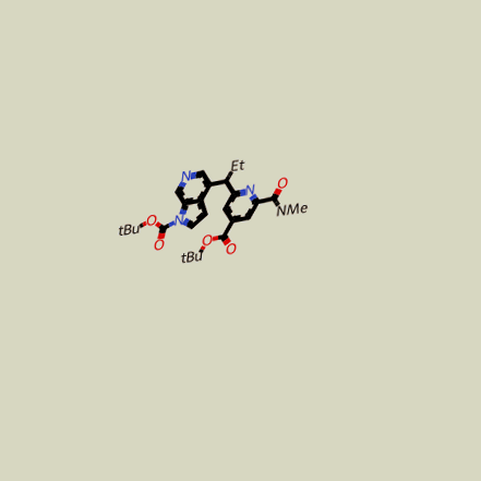 CCC(c1cc(C(=O)OC(C)(C)C)cc(C(=O)NC)n1)c1cncc2c1ccn2C(=O)OC(C)(C)C